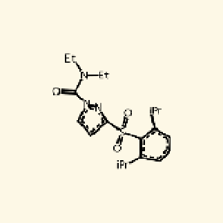 CCN(CC)C(=O)n1ccc(S(=O)(=O)c2c(C(C)C)cccc2C(C)C)n1